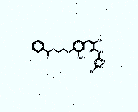 CCc1nnc(NC(=O)C(C#N)=Cc2ccc(OCCCC(=O)c3ccccc3)c(OC)c2)s1